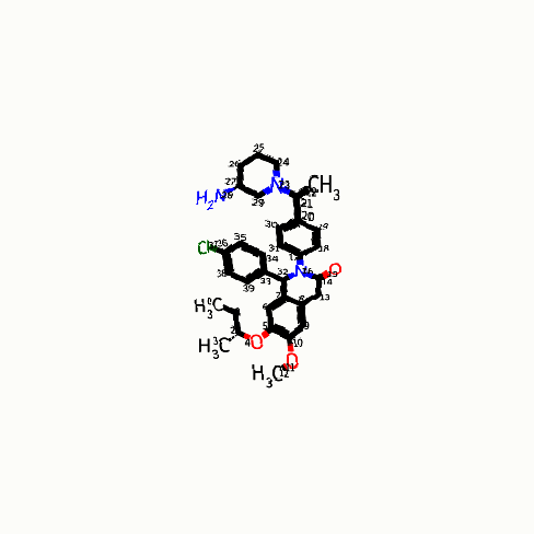 CC[C@@H](C)Oc1cc2c(cc1OC)CC(=O)N(c1ccc(C(C)N3CCC[C@H](N)C3)cc1)C2c1ccc(Cl)cc1